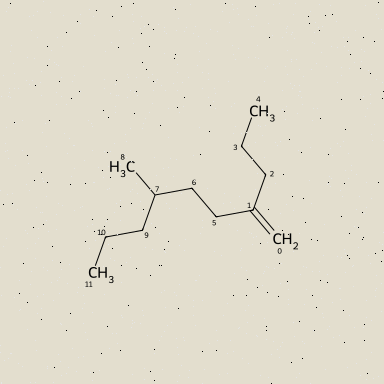 C=C(CCC)CCC(C)CCC